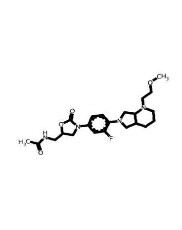 COCCN1CCCC2CN(c3ccc(N4CC(CNC(C)=O)OC4=O)cc3F)CC21